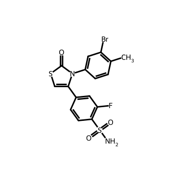 Cc1ccc(-n2c(-c3ccc(S(N)(=O)=O)c(F)c3)csc2=O)cc1Br